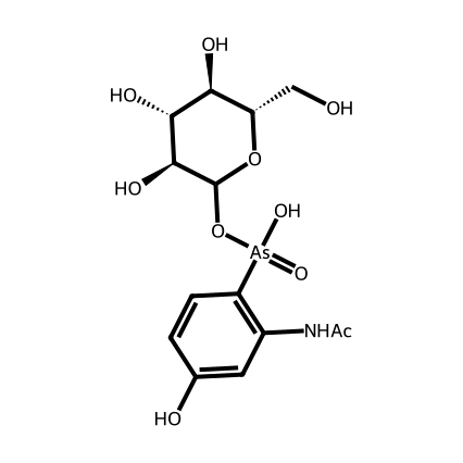 CC(=O)Nc1cc(O)ccc1[As](=O)(O)OC1O[C@@H](CO)[C@H](O)[C@@H](O)[C@@H]1O